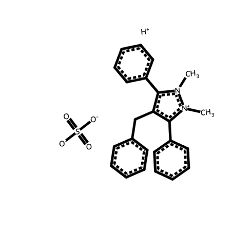 Cn1c(-c2ccccc2)c(Cc2ccccc2)c(-c2ccccc2)[n+]1C.O=S(=O)([O-])[O-].[H+]